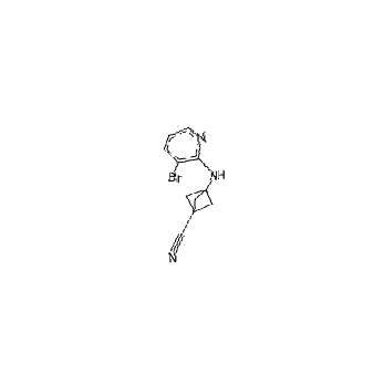 N#CC12CC(Nc3ncccc3Br)(C1)C2